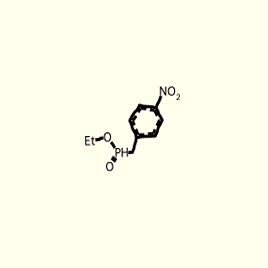 CCO[PH](=O)Cc1ccc([N+](=O)[O-])cc1